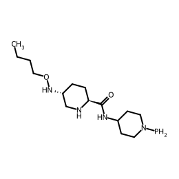 CCCCON[C@@H]1CC[C@@H](C(=O)NC2CCN(P)CC2)NC1